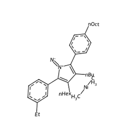 CCCCCCCCc1ccc(C2=C(CCCC)C(CCCCCC)=C(c3cccc(CC)c3)[N+]2=[N-])cc1.[CH3][Ni][CH3]